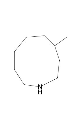 CC1CCCCCNCC1